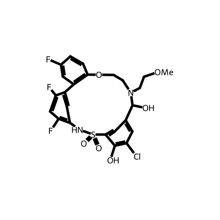 COCCN1CCOc2ccc(F)cc2-c2cc(c(F)cc2F)NS(=O)(=O)c2cc(cc(Cl)c2O)C1O